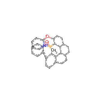 Cc1c2ccc3ccc4ccc5ccc6oc7cccc[n+]7p(oc7ccccc72)c6c5c4c13